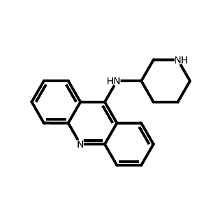 c1ccc2c(NC3CCCNC3)c3ccccc3nc2c1